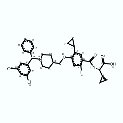 O=C(N[C@H](C(=O)O)C1=CC1)c1cc(C2CC2)c(OCC2CCN([C@H](c3ccccc3)c3cc(Cl)cc(Cl)c3)CC2)cc1F